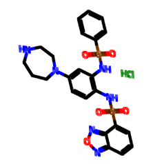 Cl.O=S(=O)(Nc1cc(N2CCCNCC2)ccc1NS(=O)(=O)c1cccc2nonc12)c1ccccc1